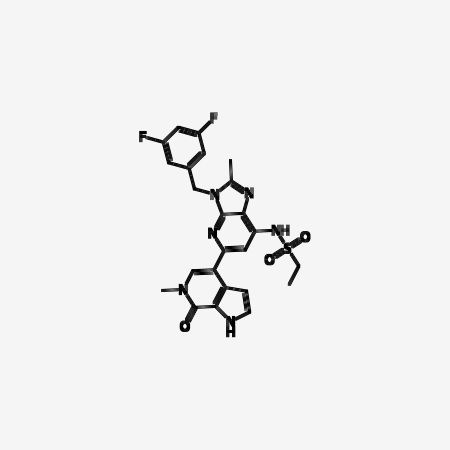 CCS(=O)(=O)Nc1cc(-c2cn(C)c(=O)c3[nH]ccc23)nc2c1nc(C)n2Cc1cc(F)cc(F)c1